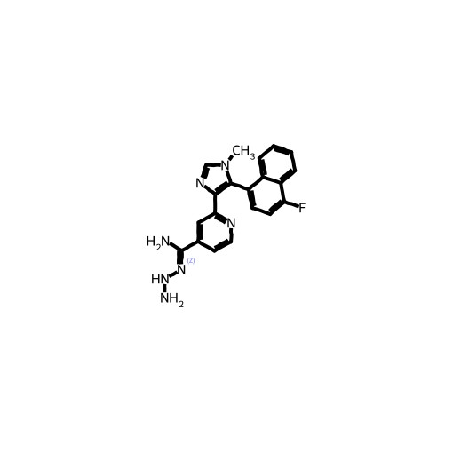 Cn1cnc(-c2cc(/C(N)=N/NN)ccn2)c1-c1ccc(F)c2ccccc12